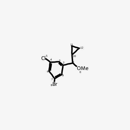 COC(c1cc(Cl)cc(Br)c1)C1CC1